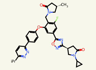 CC(C)c1ccc(-c2ccc(Oc3cc(-c4nc([C@H]5CC(=O)N(C6CC6)C5)no4)cc(F)c3CN3C[C@@H](C)CC3=O)cc2)nn1